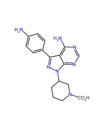 Nc1ccc(-c2nn(C3CCCN(C(=O)O)C3)c3ncnc(N)c23)cc1